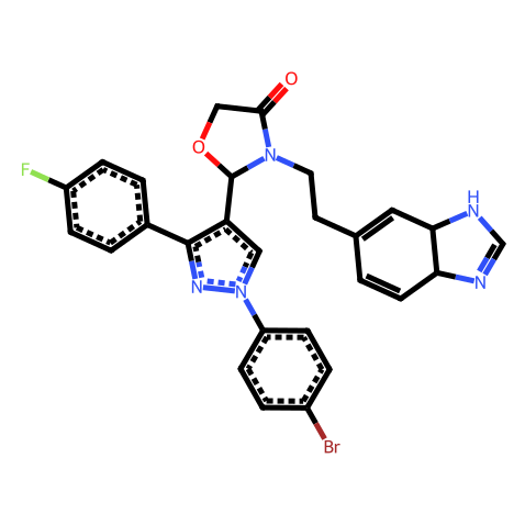 O=C1COC(c2cn(-c3ccc(Br)cc3)nc2-c2ccc(F)cc2)N1CCC1=CC2NC=NC2C=C1